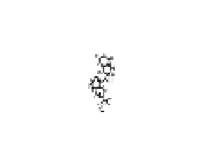 O=CC(Cl)N1Cc2ncnc(Nc3cnc4ccccc4c3)c2C1